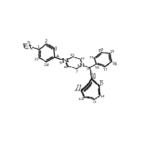 [CH2]Cc1ccc(N2CCN(C(c3ccccc3)c3ccccc3)CC2)cc1